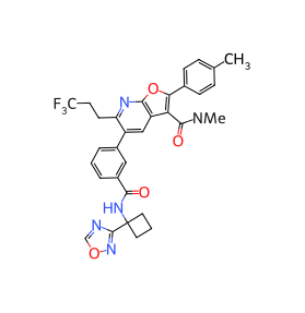 CNC(=O)c1c(-c2ccc(C)cc2)oc2nc(CCC(F)(F)F)c(-c3cccc(C(=O)NC4(c5ncon5)CCC4)c3)cc12